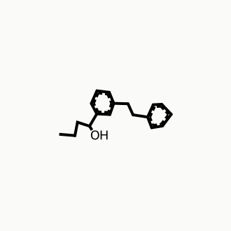 CCCC(O)c1cccc(CCc2ccccc2)c1